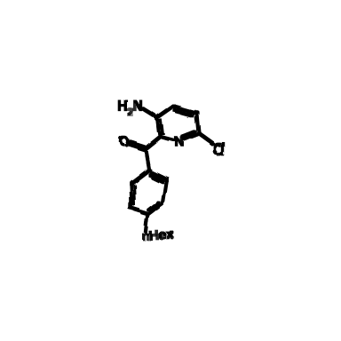 CCCCCCc1ccc(C(=O)c2nc(Cl)ccc2N)cc1